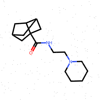 O=C(NCCN1CCCCC1)C12CC3CC(C1)C2C3